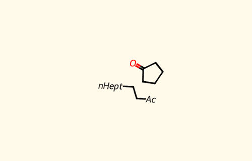 CCCCCCCCCC(C)=O.O=C1CCCC1